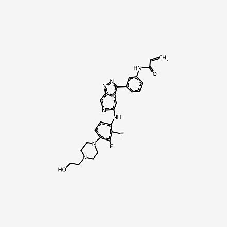 C=CC(=O)Nc1cccc(-c2nnc3cnc(Nc4ccc(N5CCN(CCO)CC5)c(F)c4F)cn23)c1